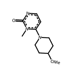 COC1CCN(c2ccnc(=O)n2C)CC1